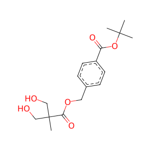 CC(C)(C)OC(=O)c1ccc(COC(=O)C(C)(CO)CO)cc1